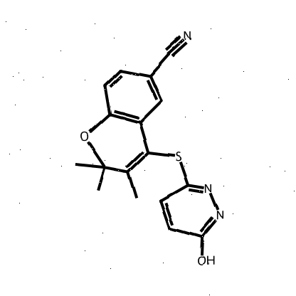 CC1=C(Sc2ccc(O)nn2)c2cc(C#N)ccc2OC1(C)C